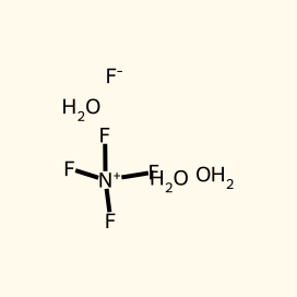 F[N+](F)(F)F.O.O.O.[F-]